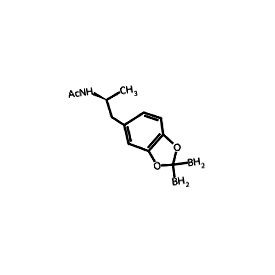 BC1(B)Oc2ccc(C[C@H](C)NC(C)=O)cc2O1